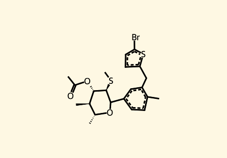 CS[C@H]1C(c2ccc(C)c(Cc3ccc(Br)s3)c2)O[C@H](C)[C@@H](C)[C@@H]1OC(C)=O